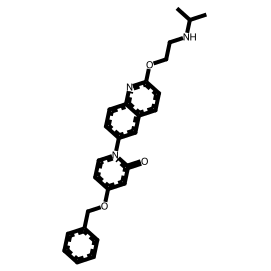 CC(C)NCCOc1ccc2cc(-n3ccc(OCc4ccccc4)cc3=O)ccc2n1